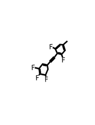 Cc1cc(F)c(C#CC2=CC(F)=C(F)C(F)C2)c(F)c1